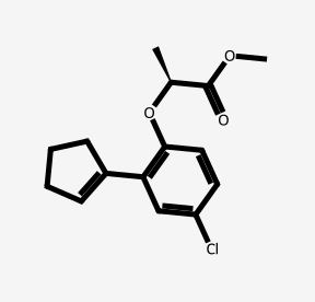 COC(=O)[C@H](C)Oc1ccc(Cl)cc1C1=CCCC1